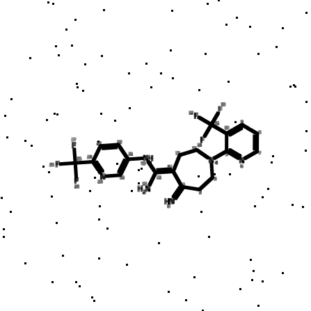 N=C1CCN(c2ncccc2C(F)(F)F)CC/C1=C(/N)Nc1ccc(C(F)(F)F)nc1